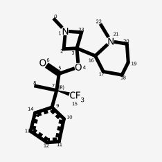 CN1CC(OC(=O)[C@@](C)(c2ccccc2)C(F)(F)F)(C2CCCCN2C)C1